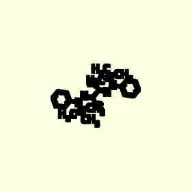 CCC(=NN(c1ccccc1)[Si](C)(C)C)C(CC)=NN(c1ccccc1)[Si](C)(C)C